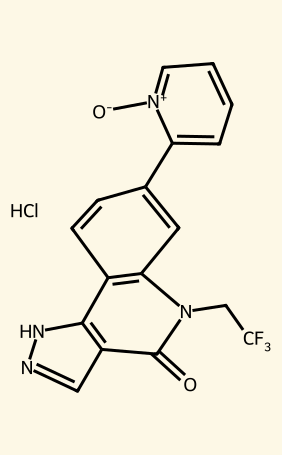 Cl.O=c1c2cn[nH]c2c2ccc(-c3cccc[n+]3[O-])cc2n1CC(F)(F)F